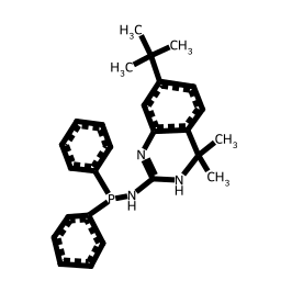 CC(C)(C)c1ccc2c(c1)N=C(NP(c1ccccc1)c1ccccc1)NC2(C)C